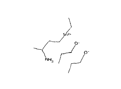 CCC[O-].CCC[O-].C[CH2][Sn+2][CH2]CC(C)N